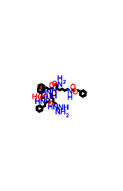 N=C(N)NCCCC(NC(=O)C(Cc1ccccc1)NC(=O)O)C(=O)NC(CC12CC3CC(CC(C3)C1)C2)C(=O)NC(CCCCNC(=O)OCc1ccccc1)C(N)=O